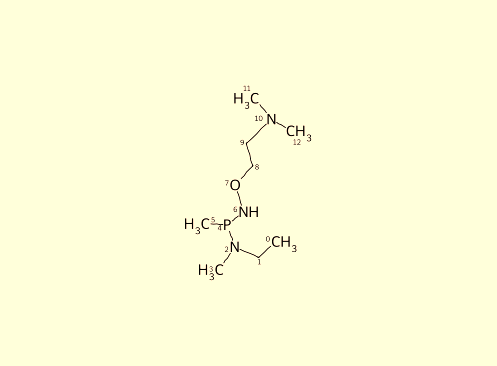 CCN(C)P(C)NOCCN(C)C